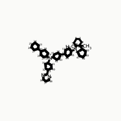 CC12CCCCC1(C)N(c1ccc(-c3ccc(N(c4ccc(-c5ccccc5)cc4)c4ccc(-c5ncccn5)cc4)cc3)cc1)c1ccccc12